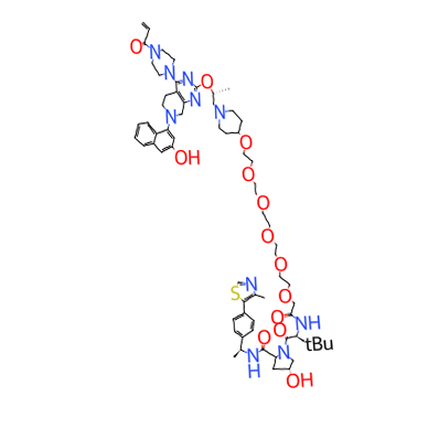 C=CC(=O)N1CCN(c2nc(O[C@H](C)CN3CCC(OCCOCCOCCOCCOCCOCC(=O)N[C@H](C(=O)N4C[C@H](O)CC4C(=O)N[C@@H](C)c4ccc(-c5scnc5C)cc4)C(C)(C)C)CC3)nc3c2CCN(c2cc(O)cc4ccccc24)C3)CC1